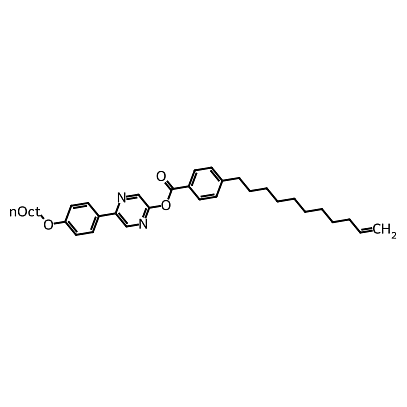 C=CCCCCCCCCCc1ccc(C(=O)Oc2cnc(-c3ccc(OCCCCCCCC)cc3)cn2)cc1